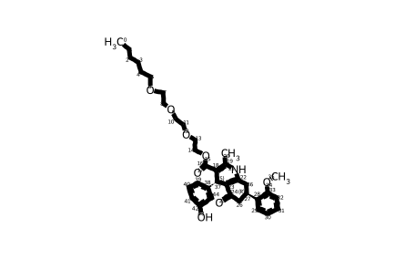 CCCCCCOCCOCCOCCOC(=O)C1=C(C)NC2=C(C(=O)C[C@H](c3ccccc3OC)C2)[C@@H]1c1cccc(O)c1